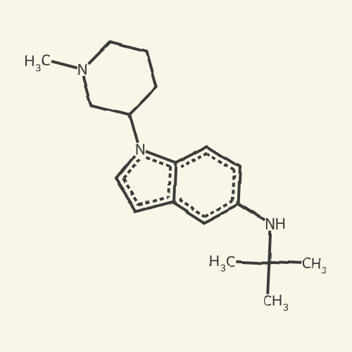 CN1CCCC(n2ccc3cc(NC(C)(C)C)ccc32)C1